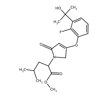 COC(=O)C(CC(C)C)N1CC(Oc2cccc(C(C)(C)O)c2F)=CC1=O